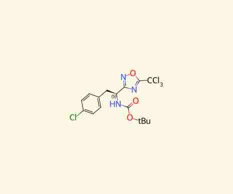 CC(C)(C)OC(=O)N[C@@H](Cc1ccc(Cl)cc1)c1noc(C(Cl)(Cl)Cl)n1